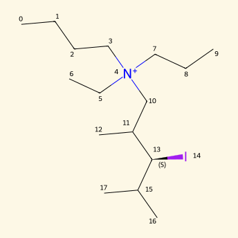 CCCC[N+](CC)(CCC)CC(C)[C@@H](I)C(C)C